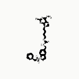 Nc1nc(Cl)nc2c1ncn2CCCCOC(=O)NCc1ccc2c(ccn2S(=O)(=O)Cc2ccccc2)c1